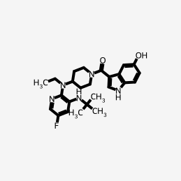 CCN(c1ncc(F)cc1NC(C)(C)C)C1CCN(C(=O)c2c[nH]c3ccc(O)cc23)CC1